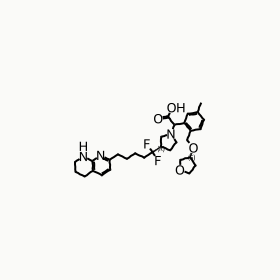 Cc1ccc(CO[C@H]2CCOC2)c(C(C(=O)O)N2CC[C@@H](C(F)(F)CCCCc3ccc4c(n3)NCCC4)C2)c1